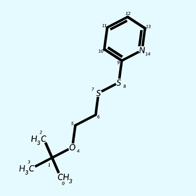 CC(C)(C)OCCSSc1ccccn1